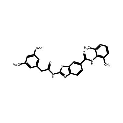 COc1cc(CC(=O)Nc2nc3ccc(C(=O)Nc4c(C)cccc4C)cc3s2)cc(OC)c1